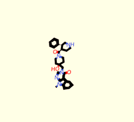 Cn1c2ccccc2c2c(=O)n(CC3(O)CCN(C(=O)[C@@H]4CCNC[C@H]4c4ccccc4)CC3)cnc21